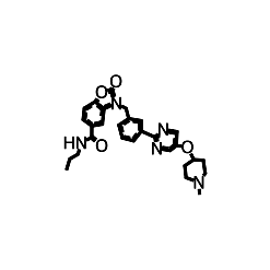 CCCNC(=O)c1ccc2oc(=O)n(Cc3cccc(-c4ncc(OC5CCN(C)CC5)cn4)c3)c2c1